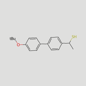 CC(S)c1ccc(-c2ccc(OC(C)(C)C)cc2)cc1